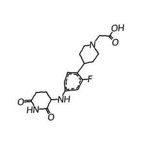 O=C(O)CN1CCC(c2ccc(NC3CCC(=O)NC3=O)cc2F)CC1